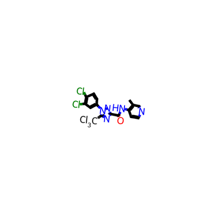 Cc1cnccc1NC(=O)c1nc(C(Cl)(Cl)Cl)n(-c2ccc(Cl)c(Cl)c2)n1